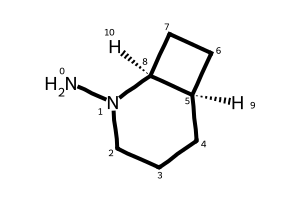 NN1CCC[C@@H]2CC[C@@H]21